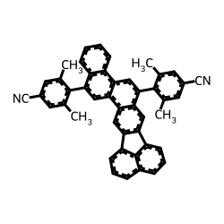 Cc1cc(C#N)cc(C)c1-c1cc2c3cc4c(cc3c(-c3c(C)cc(C#N)cc3C)cc2c2ccccc12)-c1cccc2cccc-4c12